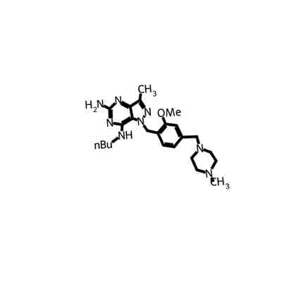 CCCCNc1nc(N)nc2c(C)nn(Cc3ccc(CN4CCN(C)CC4)cc3OC)c12